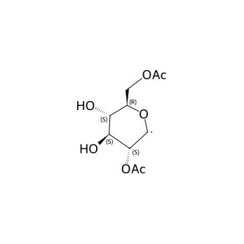 CC(=O)OC[C@H]1O[CH][C@H](OC(C)=O)[C@@H](O)[C@@H]1O